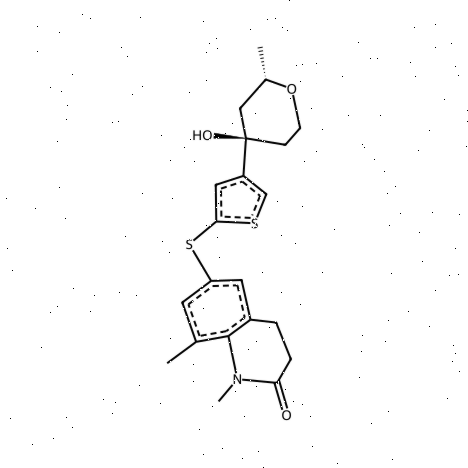 Cc1cc(Sc2cc([C@@]3(O)CCO[C@@H](C)C3)cs2)cc2c1N(C)C(=O)CC2